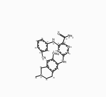 COc1cc2c(cc1Nc1nnc(C(N)=O)c(Nc3cccc(C#N)c3)n1)CCN(C)C2